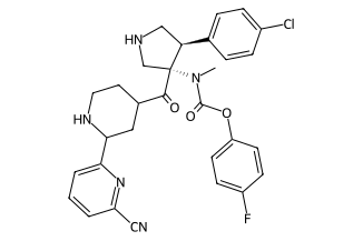 CN(C(=O)Oc1ccc(F)cc1)[C@]1(C(=O)C2CCNC(c3cccc(C#N)n3)C2)CNC[C@H]1c1ccc(Cl)cc1